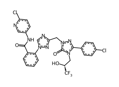 O=C(Nc1ccc(Cl)nc1)c1ccccc1-n1cnc(Cn2nc(-c3ccc(Cl)cc3)n(C[C@H](O)C(F)(F)F)c2=O)n1